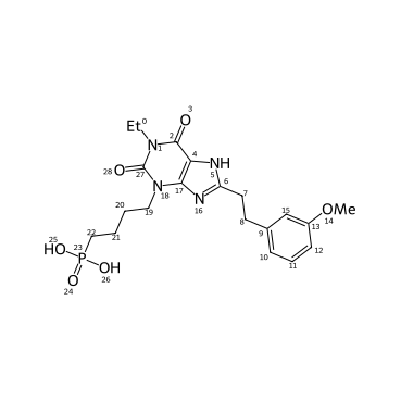 CCn1c(=O)c2[nH]c(CCc3cccc(OC)c3)nc2n(CCCCP(=O)(O)O)c1=O